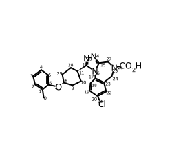 Cc1ccccc1O[C@H]1CC[C@H](c2nnc3n2-c2ccc(Cl)cc2CN(C(=O)O)C3)CC1